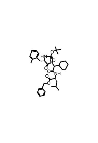 Cc1ccccc1C[C@H](NC(=O)OC(C)(C)C)C(=O)NC(C(=O)N[C@@H](CC(C)C)C(=O)OCc1ccccc1)C1CCCCC1